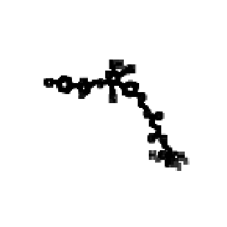 C[N+](C)(C)CCOC(=O)CCC(=O)OCCOc1ccc(-c2c(C#N)c(N)nc(SCc3csc(-c4ccc(Cl)cc4)n3)c2C#N)cc1